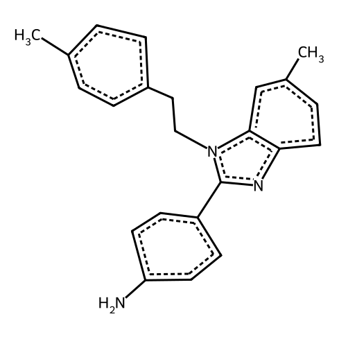 Cc1ccc(CCn2c(-c3ccc(N)cc3)nc3ccc(C)cc32)cc1